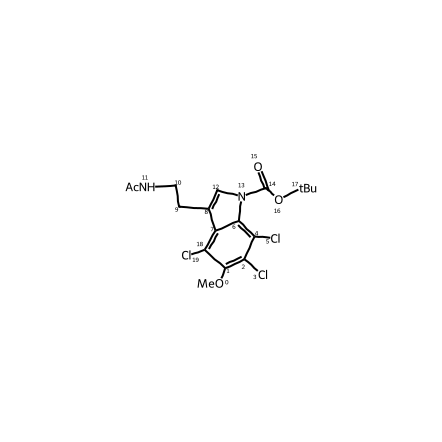 COc1c(Cl)c(Cl)c2c(c(CCNC(C)=O)cn2C(=O)OC(C)(C)C)c1Cl